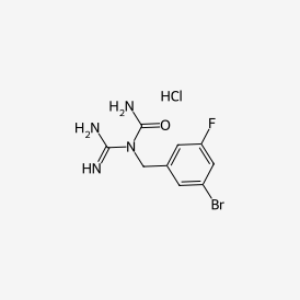 Cl.N=C(N)N(Cc1cc(F)cc(Br)c1)C(N)=O